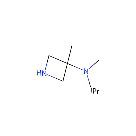 CC(C)N(C)C1(C)CNC1